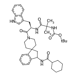 CC(C)(C)OC(=O)NC(C)(C)C(=O)N[C@H](Cc1c[nH]c2ccccc12)C(=O)N1CCC2(CC1)CC(NC(=O)C1CCCCC1)c1ccccc12